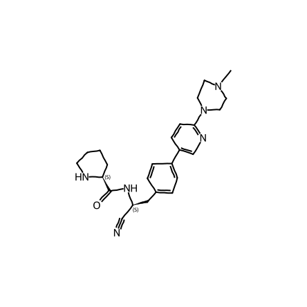 CN1CCN(c2ccc(-c3ccc(C[C@@H](C#N)NC(=O)[C@@H]4CCCCN4)cc3)cn2)CC1